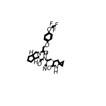 N#C[C@H](C[C@@H]1CC2(CC2)NC1=O)NC(=O)[C@@H]1[C@H]2CCC[C@H]2CN1C(=O)COc1ccc(OC(F)(F)F)cc1